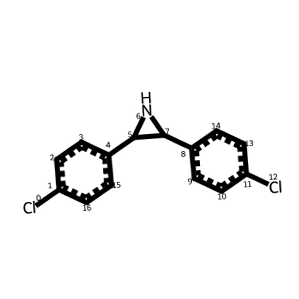 Clc1ccc(C2NC2c2ccc(Cl)cc2)cc1